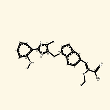 CCOC(=Cc1ccc2c(ccn2Cc2nc(-c3ccccc3OC)oc2C)c1)C(=O)O